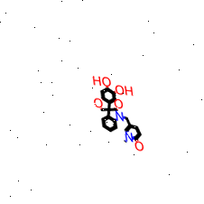 Cn1cc(CN2C(=O)C3(COc4cc(O)c(O)cc43)c3ccccc32)ccc1=O